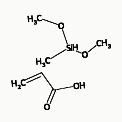 C=CC(=O)O.CO[SiH](C)OC